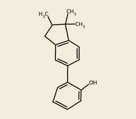 CC1Cc2cc(-c3ccccc3O)ccc2C1(C)C